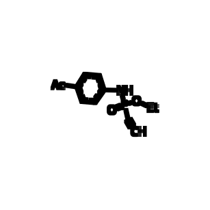 C#CP(=O)(Nc1ccc(C(C)=O)cc1)OCC